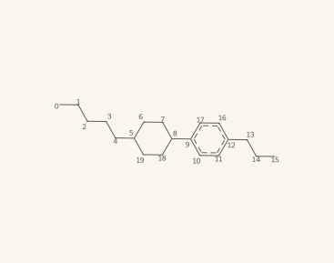 CCCCCC1CCC(c2ccc(CCC)cc2)CC1